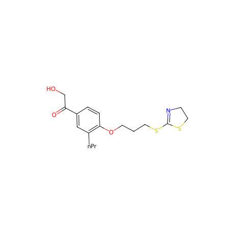 CCCc1cc(C(=O)CO)ccc1OCCCSC1=NCCS1